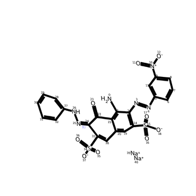 Nc1c(N=Nc2cccc([N+](=O)[O-])c2)c(S(=O)(=O)[O-])cc2c1C(=O)/C(=N\Nc1ccccc1)C(S(=O)(=O)[O-])=C2.[Na+].[Na+]